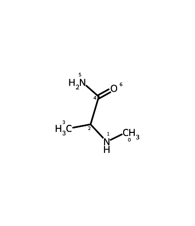 CNC(C)C(N)=O